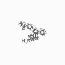 CC(C)(C)OC(=O)N1CCC(Oc2cc(-c3cnc(N)nc3C(F)(F)F)nc(N3CCOCC3)n2)CC1